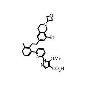 CCc1cc(CCC2=C(C)CCC=C2c2cccc(-n3ncc(C(=O)O)c3OC)n2)cc2c1CN(C1COC1)CC2